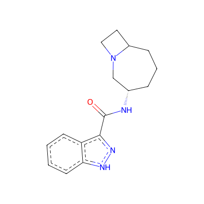 O=C(N[C@H]1CCCC2CCN2C1)c1n[nH]c2ccccc12